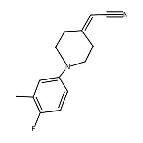 Cc1cc(N2CCC(=CC#N)CC2)ccc1F